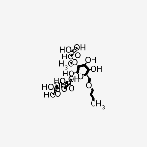 CCCCOC[C@H]1O[C@H](O)[C@@H](OC)[C@@H](O)[C@@H]1O.O=P(O)(O)O.O=P(O)(O)O.O=P(O)(O)O